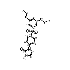 CCSc1cc(SCC)cc(S(=O)(=O)c2ccc(-n3ccn(C)c3=O)cc2)c1